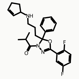 CC(C)C(=O)N1N=C(c2cc(F)ccc2F)OC1(CCCNC1C=CCC1)c1ccccc1